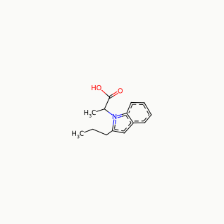 CCCc1cc2ccccc2n1C(C)C(=O)O